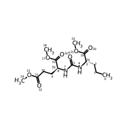 CCC[C@H](NC(=O)N[C@@H](CCC(=O)OC)C(=O)OC)C(=O)OC